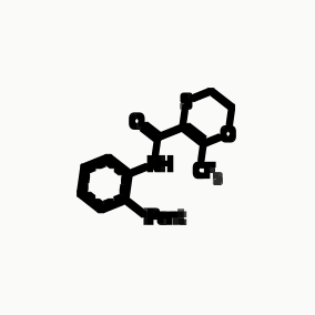 CCCC(C)c1ccccc1NC(=O)C1=C(C(F)(F)F)OCCS1